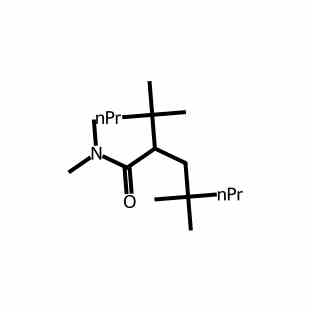 CCCC(C)(C)CC(C(=O)N(C)C)C(C)(C)CCC